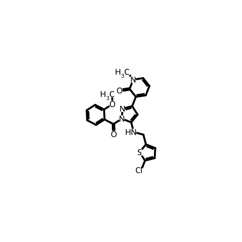 COc1ccccc1C(=O)n1nc(-c2cccn(C)c2=O)cc1NCc1ccc(Cl)s1